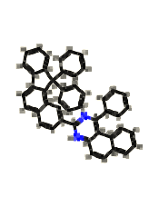 c1ccc(-c2nc(-c3ccc4ccc5c(c4c3)C(c3ccccc3)(c3ccccc3)c3ccccc3-5)nc3ccc4ccccc4c23)cc1